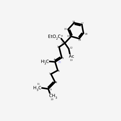 CCOC(=O)C(C/C=C(\C)CCC=C(C)C)(CC(C)=O)c1ccccc1